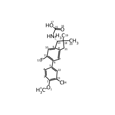 COc1ccc(-c2cc3c(cc2F)[C@H](NC(=O)O)C(C)(C)C3)cc1Cl